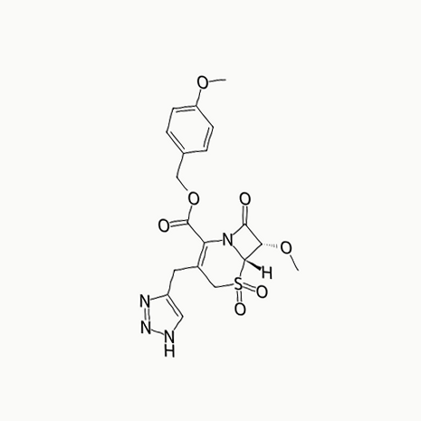 COc1ccc(COC(=O)C2=C(Cc3c[nH]nn3)CS(=O)(=O)[C@H]3[C@@H](OC)C(=O)N23)cc1